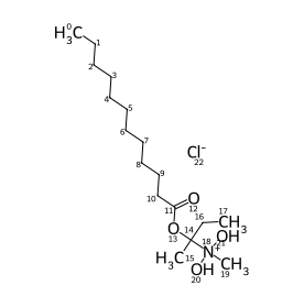 CCCCCCCCCCCC(=O)OC(C)(CC)[N+](C)(O)O.[Cl-]